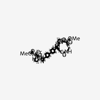 COC(=O)N[C@H]1CCCCNC(=O)CCc2[nH]c(nc2-c2ccc(-c3ccc(-c4cnc([C@@H]5CCCN5C(=O)[C@@H](NC(=O)OC)C(C)C)[nH]4)cc3)cc2)[C@@H]2CCCN2C1=O